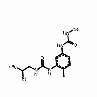 CCCCC(CC)CNC(=O)Nc1cc(NC(=O)NC(C)(C)C)ccc1C